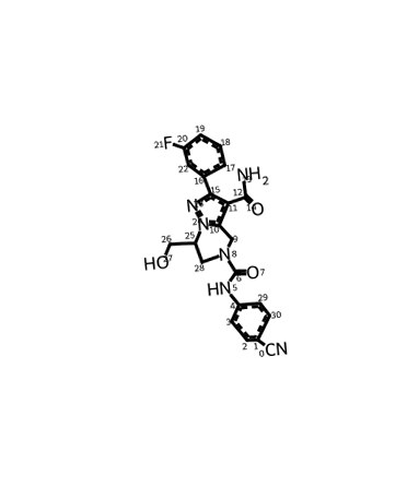 N#Cc1ccc(NC(=O)N2Cc3c(C(N)=O)c(-c4cccc(F)c4)nn3C(CO)C2)cc1